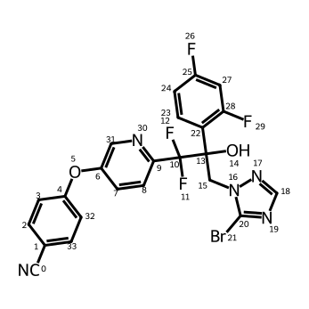 N#Cc1ccc(Oc2ccc(C(F)(F)C(O)(Cn3ncnc3Br)c3ccc(F)cc3F)nc2)cc1